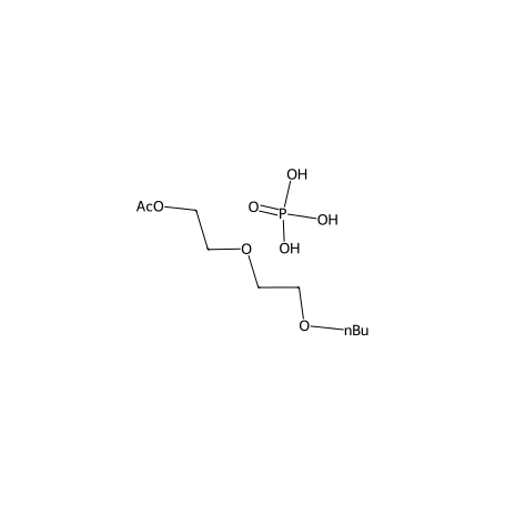 CCCCOCCOCCOC(C)=O.O=P(O)(O)O